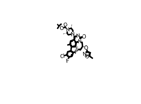 Cc1cc(O[C@@H]2CSc3c(-c4cc(Cl)c(F)cc4F)c(C)cc4c(N5C[C@@H](C)N(C(=O)OC(C)(C)C)[C@@H](C)C5)nc(=O)n(c34)C2)no1